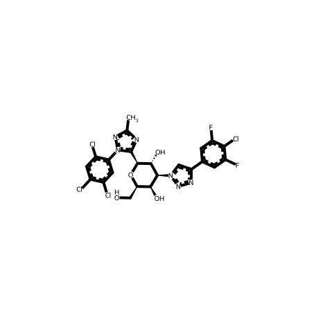 Cc1nc([C@@H]2O[C@H](CO)[C@H](O)[C@H](n3cc(-c4cc(F)c(Cl)c(F)c4)nn3)[C@H]2O)n(-c2cc(Cl)c(Cl)cc2Cl)n1